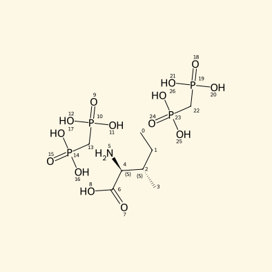 CC[C@H](C)[C@H](N)C(=O)O.O=P(O)(O)CP(=O)(O)O.O=P(O)(O)CP(=O)(O)O